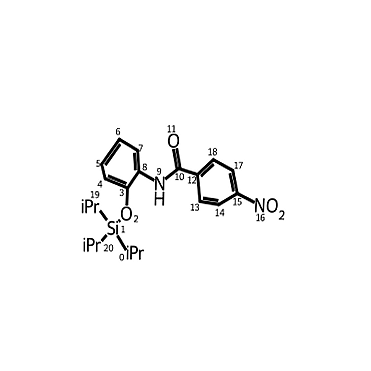 CC(C)[Si](Oc1ccccc1NC(=O)c1ccc([N+](=O)[O-])cc1)(C(C)C)C(C)C